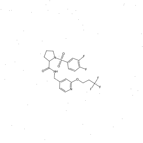 O=C(NCc1ccnc(OCCC(F)(F)F)c1)C1CCCN1S(=O)(=O)c1ccc(F)c(F)c1